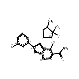 CC1CC[C@@H](Nc2c(C(N)=O)cnn3cc(-c4cccc(Cl)c4)cc23)C1(C)C